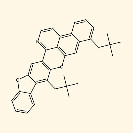 CC(C)(C)Cc1cccc2c1cc1c3c(nccc32)-c2cc3oc4ccccc4c3c(CC(C)(C)C)c2O1